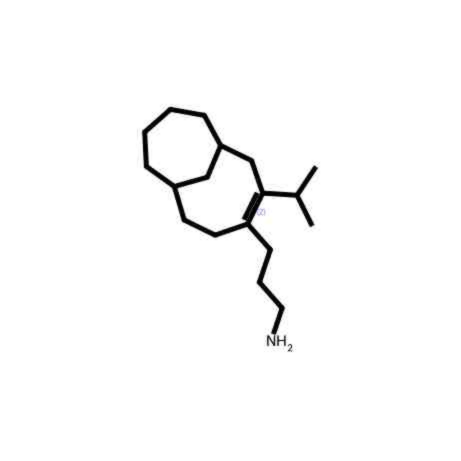 CC(C)/C1=C(\CCCN)CCC2CCCCC(C1)C2